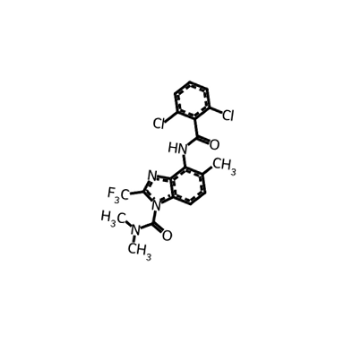 Cc1ccc2c(nc(C(F)(F)F)n2C(=O)N(C)C)c1NC(=O)c1c(Cl)cccc1Cl